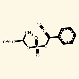 CCCCCC(C)OS(=O)(=O)OC(=C=O)c1ccccc1